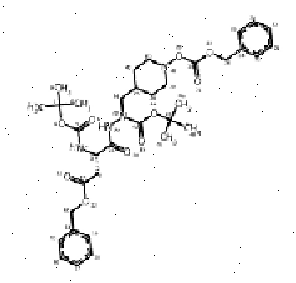 CC(C)(C)OC(=O)N[C@@H](CC(=O)OCc1ccccc1)C(=O)NN(CC1CCN(OC(=O)OCc2ccccc2)CC1)C(=O)OC(C)(C)C